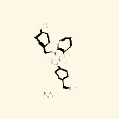 COC(=O)c1ccc(S(=O)(=O)N(Cc2ccc(C#N)cc2)c2ncc(C(F)(F)F)cc2Cl)cc1